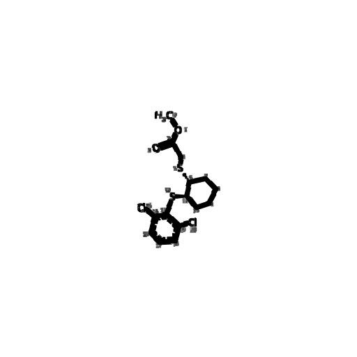 COC(=O)CS[C@@H]1CCCC[C@H]1Sc1c(Cl)cccc1Cl